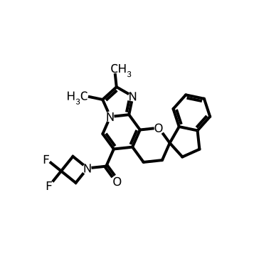 Cc1nc2c3c(c(C(=O)N4CC(F)(F)C4)cn2c1C)CCC1(CCc2ccccc21)O3